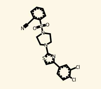 N#Cc1ccccc1S(=O)(=O)N1CCN(c2nc(-c3ccc(Cl)c(Cl)c3)cs2)CC1